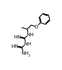 CC(COc1ccccc1)NC(=N)NC(=N)N